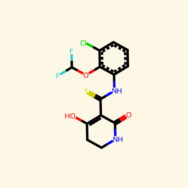 O=C1NCCC(O)=C1C(=S)Nc1cccc(Cl)c1OC(F)F